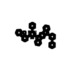 c1ccc(-c2cccc(-n3c4ccccc4c4cc5c(cc43)c3ccccc3n5-c3nc(-c4ccccc4)nc(-c4cccc5c4oc4ccccc45)n3)c2)cc1